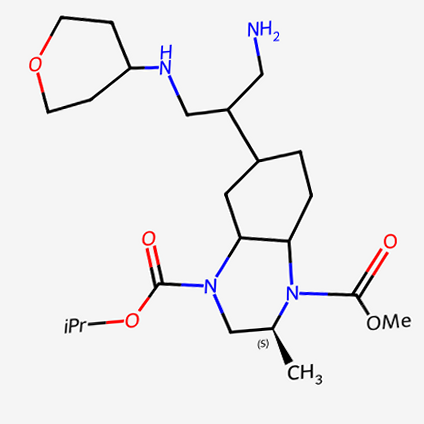 COC(=O)N1C2CCC(C(CN)CNC3CCOCC3)CC2N(C(=O)OC(C)C)C[C@@H]1C